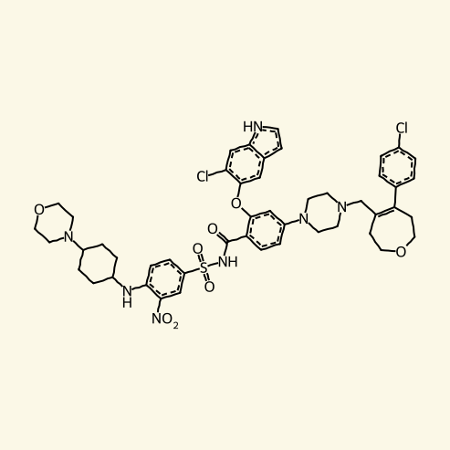 O=C(NS(=O)(=O)c1ccc(NC2CCC(N3CCOCC3)CC2)c([N+](=O)[O-])c1)c1ccc(N2CCN(CC3=C(c4ccc(Cl)cc4)CCOCC3)CC2)cc1Oc1cc2cc[nH]c2cc1Cl